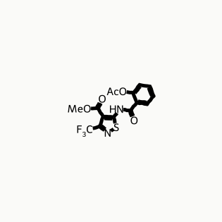 COC(=O)c1c(C(F)(F)F)nsc1NC(=O)c1ccccc1OC(C)=O